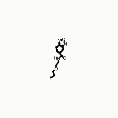 O=C(NCCOCCI)c1ccc2nonc2c1